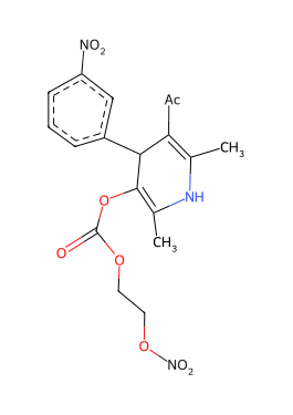 CC(=O)C1=C(C)NC(C)=C(OC(=O)OCCO[N+](=O)[O-])C1c1cccc([N+](=O)[O-])c1